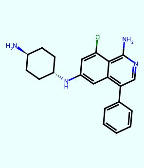 Nc1ncc(-c2ccccc2)c2cc(N[C@H]3CC[C@H](N)CC3)cc(Cl)c12